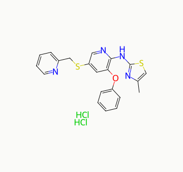 Cc1csc(Nc2ncc(SCc3ccccn3)cc2Oc2ccccc2)n1.Cl.Cl